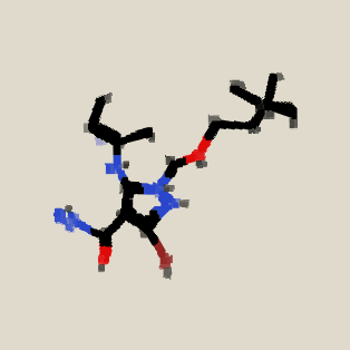 C/C=C(\C)Nc1c(C(N)=O)c(Br)nn1COCC[Si](C)(C)C